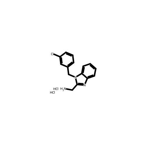 Cl.Cl.NCc1nc2ccccc2n1Cc1cccc(Cl)c1